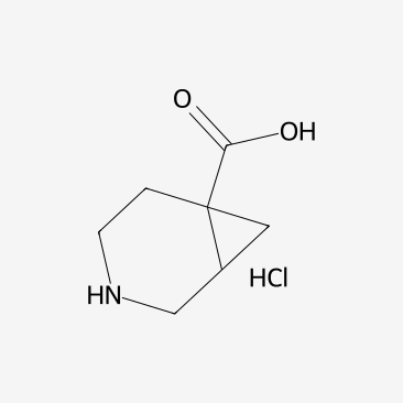 Cl.O=C(O)C12CCNCC1C2